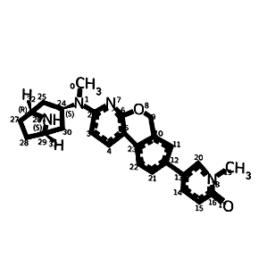 CN(c1ccc2c(n1)OCc1cc(-c3ccc(=O)n(C)c3)ccc1-2)[C@@H]1C[C@H]2CC[C@@H](C1)N2